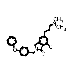 CN(C)CCCc1cc(Cl)c2c(c1)CN(Cc1ccc(Oc3ccccc3)cc1)C2=O